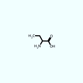 [CH2]CC(N)C(=O)O